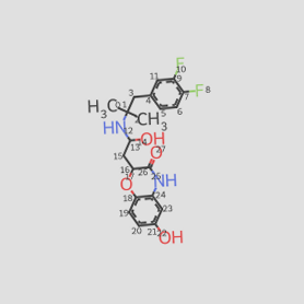 CC(C)(Cc1ccc(F)c(F)c1)NC(O)CC1Oc2ccc(O)cc2NC1=O